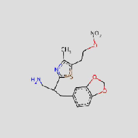 Cc1nc(C(CN)Cc2ccc3c(c2)OCO3)sc1CCO[N+](=O)[O-]